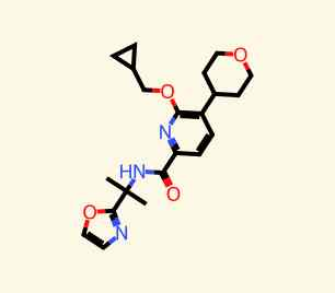 CC(C)(NC(=O)c1ccc(C2CCOCC2)c(OCC2CC2)n1)c1ncco1